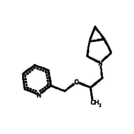 CC(CN1CC2CC2C1)OCc1ccccn1